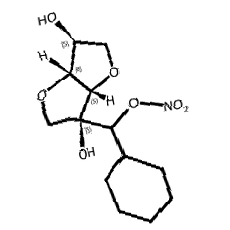 O=[N+]([O-])OC(C1CCCCC1)[C@]1(O)CO[C@@H]2[C@@H](O)CO[C@@H]21